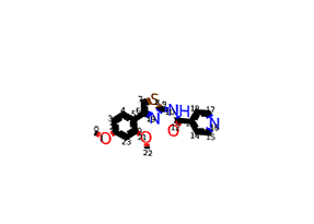 COc1ccc(-c2csc(NC(=O)c3ccncc3)n2)c(OC)c1